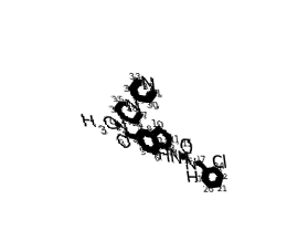 CN(C(=O)c1ccc2c(c1)CCC2NC(=O)NCc1ccccc1Cl)C1CCN(c2ccncc2)CC1